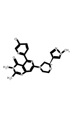 Cc1nc2cc(N3CCO[C@H](c4cnn(C)c4)C3)nc(-c3ccc(Cl)cn3)c2c(=O)n1C